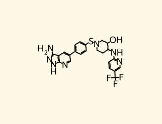 Nc1n[nH]c2ncc(-c3ccc(SN4CCC(Nc5ccc(C(F)(F)F)cn5)C(O)C4)cc3)cc12